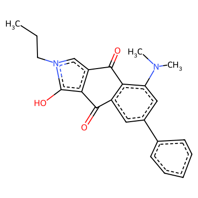 CCCn1cc2c(c1O)C(=O)c1cc(-c3ccccc3)cc(N(C)C)c1C2=O